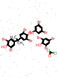 Brc1[c]c(Br)cc(Br)c1.CC(C)(c1cc(Br)c(O)c(Br)c1)c1cc(Br)c(O)c(Br)c1.O=C(Cl)Cl.Oc1c(Br)cc(Br)cc1Br